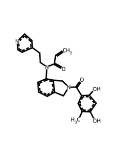 C=CC(=O)N(CCc1ccncc1)c1cccc2c1CN(C(=O)c1cc(C)c(O)cc1O)C2